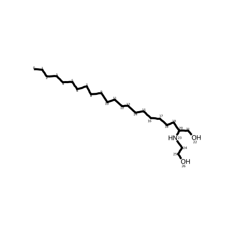 CCCCCCCCCCCCCCCCCCCCC(CO)NCCO